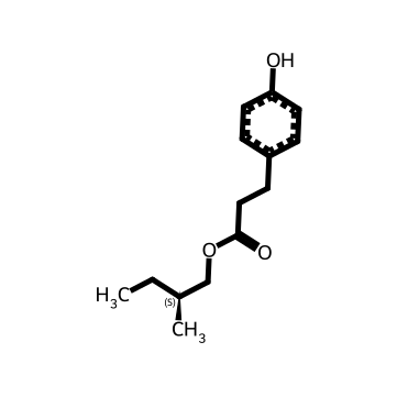 CC[C@H](C)COC(=O)CCc1ccc(O)cc1